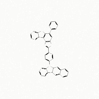 C1=c2ccccc2=CC2C1c1ccccc1N2c1ccc(-c2nc3c(cc(-c4ccccc4)c4sc5ccccc5c43)s2)cc1